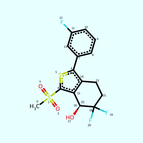 CS(=O)(=O)c1sc(-c2cccc(F)c2)c2c1[C@H](O)C(F)(F)CC2